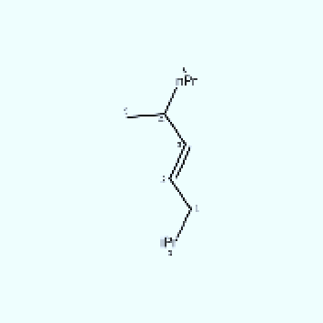 [CH2]C(C)C/C=C/C(C)CCC